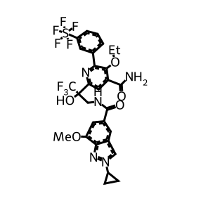 CCOc1c(C(N)=O)cc([C@@](O)(CNC(=O)c2cc(OC)c3nn(C4CC4)cc3c2)C(F)(F)F)nc1-c1cccc(S(F)(F)(F)(F)F)c1